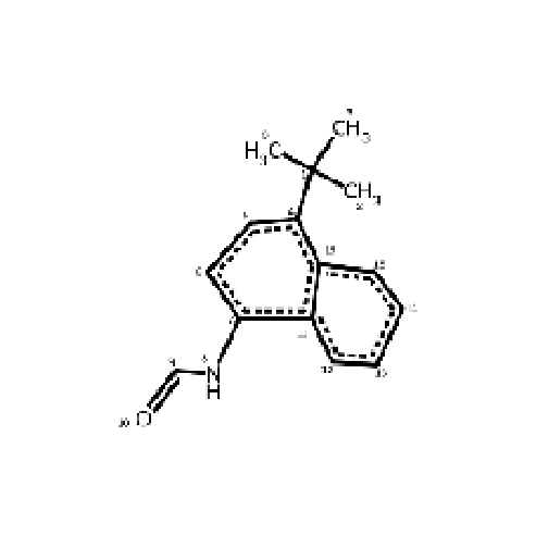 CC(C)(C)c1ccc(N[C]=O)c2ccccc12